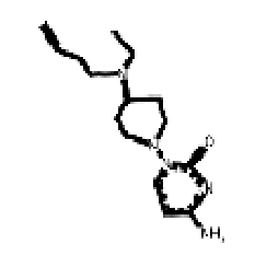 C=CCCN(CC)C1CCN(n2ccc(N)nc2=O)CC1